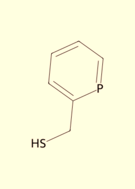 SCc1ccccp1